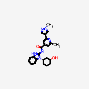 Cc1cc(C(=O)/N=c2\[nH]c3ccccc3n2[C@H]2CCC[C@H](O)C2)cc(-c2cnn(C)c2)n1